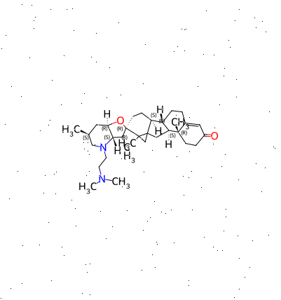 C[C@H]1C[C@H]2O[C@]3(CC[C@H]4[C@@H]5CCC6=CC(=O)CC[C@]6(C)[C@H]5CC45CC53C)[C@H](C)[C@@H]2N(CCN(C)C)C1